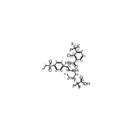 CCS(=O)(=O)c1ccc([C@H](NC(=O)c2cccc(C(F)(F)F)c2Cl)[C@H]2CCCCN2)cc1.O=C(O)C(F)(F)F